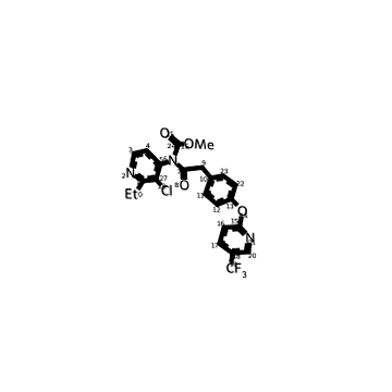 CCc1nccc(N(C(=O)Cc2ccc(Oc3ccc(C(F)(F)F)cn3)cc2)C(=O)OC)c1Cl